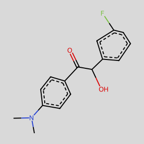 CN(C)c1ccc(C(=O)C(O)c2cccc(F)c2)cc1